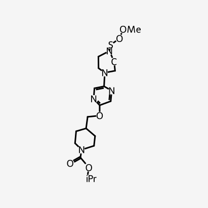 COOSN1CCN(c2cnc(OCC3CCN(C(=O)OC(C)C)CC3)cn2)CC1